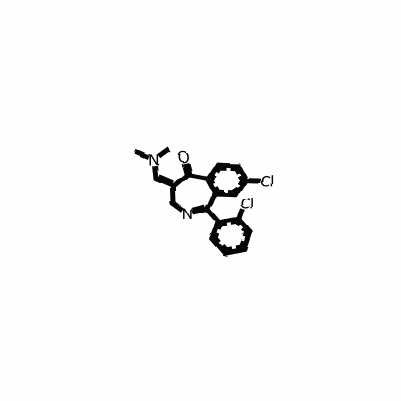 CN(C)C=C1CN=C(c2ccccc2Cl)c2cc(Cl)ccc2C1=O